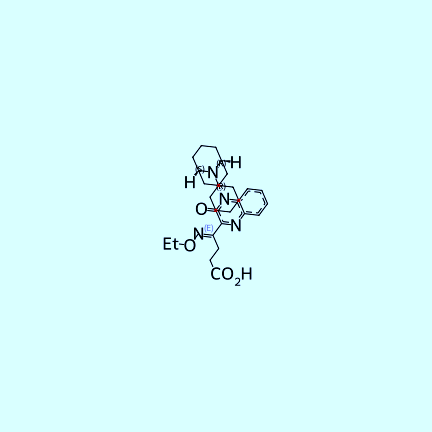 CCO/N=C(\CCC(=O)O)c1nc2ccccc2n([C@H]2C[C@H]3CCC[C@@H](C2)N3C2CCCCC2)c1=O